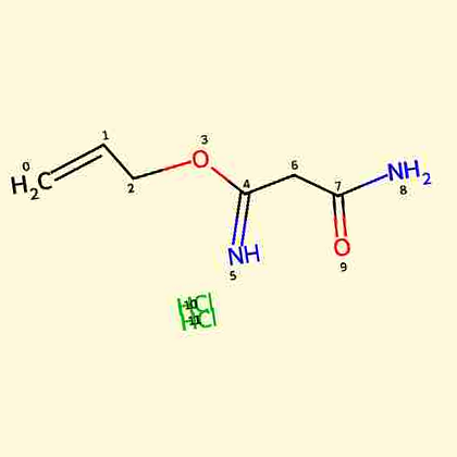 C=CCOC(=N)CC(N)=O.Cl.Cl